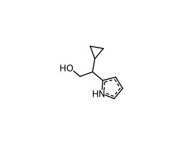 OCC(c1ccc[nH]1)C1CC1